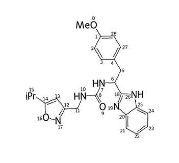 COc1ccc(CC(NC(=O)NCc2cc(C(C)C)on2)c2nc3ccccc3[nH]2)cc1